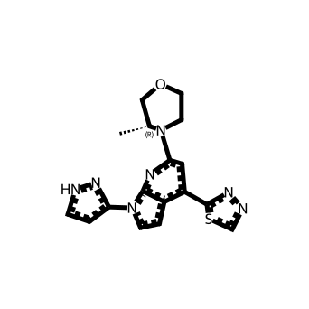 C[C@@H]1COCCN1c1cc(-c2nncs2)c2ccn(-c3cc[nH]n3)c2n1